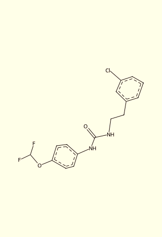 O=C(NCCc1cccc(Cl)c1)Nc1ccc(OC(F)F)cc1